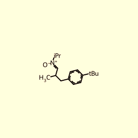 CC(C=[N+]([O-])C(C)C)Cc1ccc(C(C)(C)C)cc1